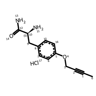 CC#CCOc1ccc(C[C@H](N)C(N)=O)cc1.Cl